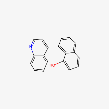 Oc1cccc2ccccc12.c1ccc2ncccc2c1